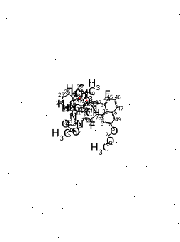 COCOc1cc(-c2nc3c4c(nc(S(C)(=O)=O)nc4c2F)N2CCCC[C@H]2CO3)c2c(C#C[Si](C(C)C)(C(C)C)C(C)C)c(F)ccc2c1